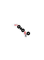 C[SiH](OOc1ccc(C(C)(C)c2ccc(O)cc2)cc1)c1ccccc1